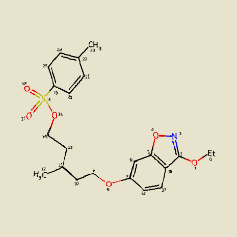 CCOc1noc2cc(OCCC(C)CCOS(=O)(=O)c3ccc(C)cc3)ccc12